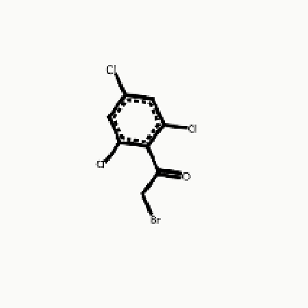 O=C(CBr)c1c(Cl)cc(Cl)cc1Cl